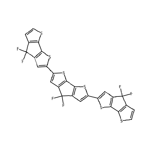 FC1(F)c2ccsc2-c2sc(-c3cc4c(s3)-c3sc(-c5cc6c(s5)-c5sccc5C6(F)F)cc3C4(F)F)cc21